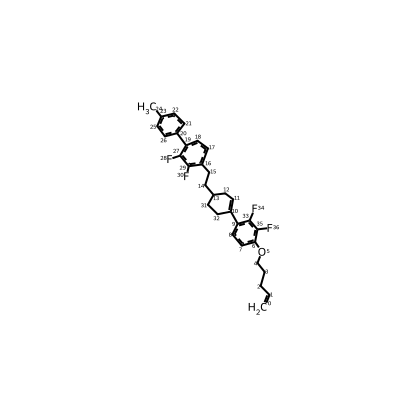 C=CCCCOc1ccc(C2=CCC(CCc3ccc(-c4ccc(C)cc4)c(F)c3F)CC2)c(F)c1F